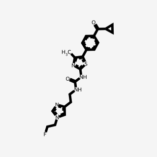 Cc1nc(NC(=O)NCCc2cn(CCF)cn2)sc1-c1ccc(C(=O)C2CC2)cc1